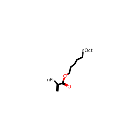 C=C(CCC)C(=O)OCCCCCCCCCCCCC